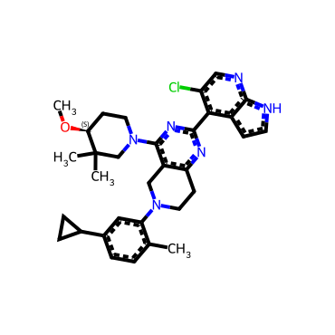 CO[C@H]1CCN(c2nc(-c3c(Cl)cnc4[nH]ccc34)nc3c2CN(c2cc(C4CC4)ccc2C)CC3)CC1(C)C